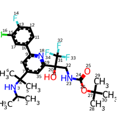 CC(C)NC(C)(C)c1cc(-c2ccc(F)c(Cl)c2)nc(C(O)(CNC(=O)OC(C)(C)C)C(F)(F)F)c1